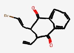 C=CC1C(=O)c2ccccc2C(=O)C1/C=C/Br